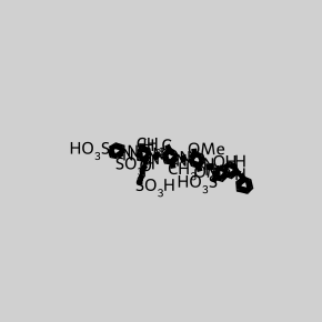 COc1cc(N=Nc2c(S(=O)(=O)O)cc3cc(Nc4ccccc4)ccc3c2O)c(OC)cc1N=Nc1cc(C)c(N=Nc2cc(C)c(N=Nc3ccc(S(=O)(=O)O)cc3S(=O)(=O)O)cc2OCCCS(=O)(=O)O)cc1C